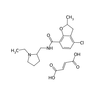 CCN1CCCC1CNC(=O)c1ccc(Cl)c2c1OC(C)C2.O=C(O)C=CC(=O)O